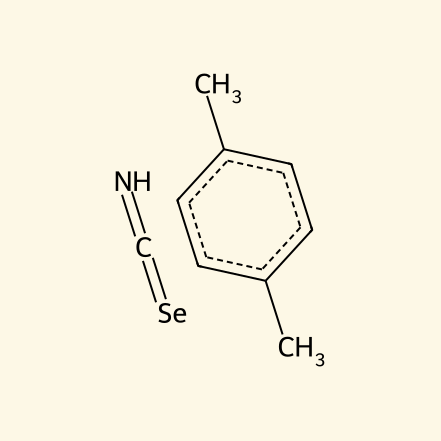 Cc1ccc(C)cc1.N=C=[Se]